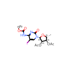 CCCOC(=O)Nc1nc(=O)n([C@@H]2O[C@H](C)[C@@H](OC(C)=O)[C@H]2OC(C)=O)cc1I